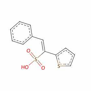 O=S(=O)(O)C(=Cc1ccccc1)c1cccs1